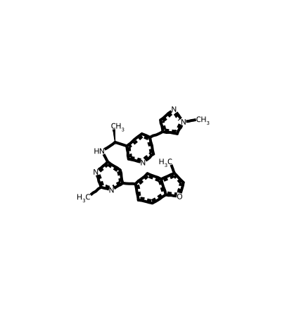 Cc1nc(N[C@@H](C)c2cncc(-c3cnn(C)c3)c2)cc(-c2ccc3occ(C)c3c2)n1